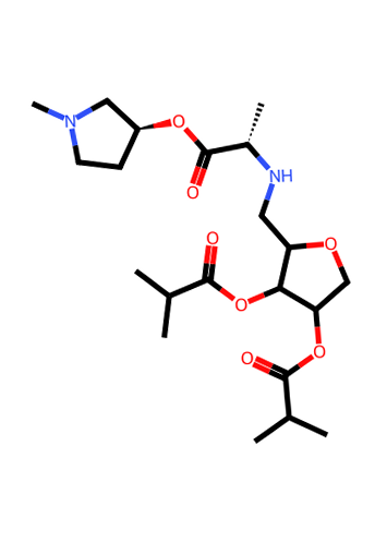 CC(C)C(=O)OC1COC(CN[C@@H](C)C(=O)O[C@H]2CCN(C)C2)C1OC(=O)C(C)C